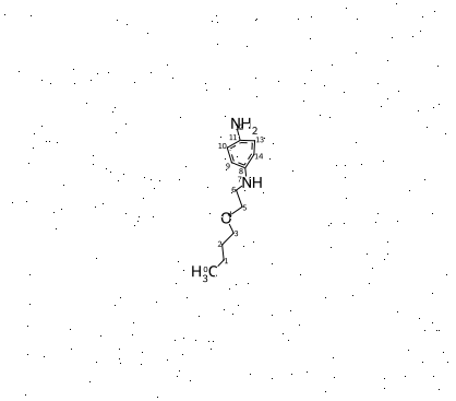 CCCCOCCNc1ccc(N)cc1